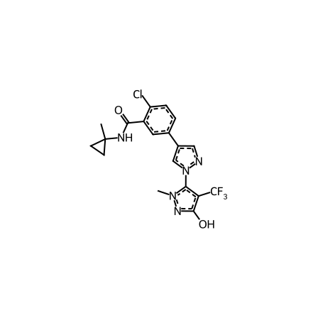 Cn1nc(O)c(C(F)(F)F)c1-n1cc(-c2ccc(Cl)c(C(=O)NC3(C)CC3)c2)cn1